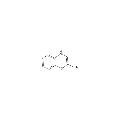 [CH2]CCC1=CNc2ccccc2O1